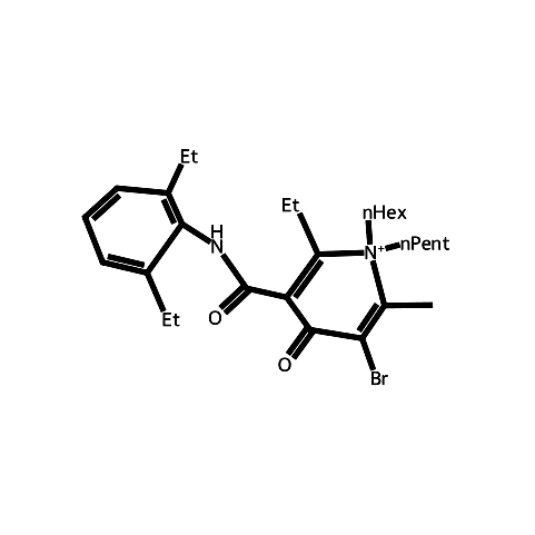 CCCCCC[N+]1(CCCCC)C(C)=C(Br)C(=O)C(C(=O)Nc2c(CC)cccc2CC)=C1CC